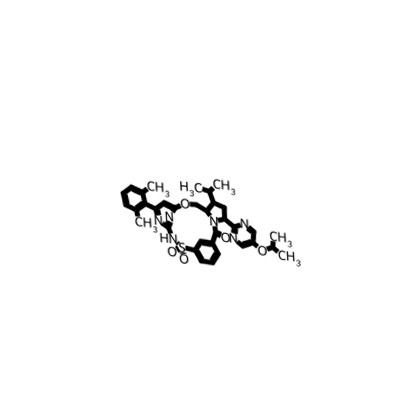 Cc1cccc(C)c1-c1cc2nc(n1)NS(=O)(=O)c1cccc(c1)C(=O)N1C(c3ncc(OC(C)C)cn3)CC(C(C)C)C1CO2